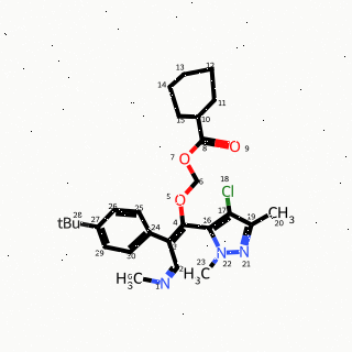 C/N=C\C(=C(\OCOC(=O)C1CCCCC1)c1c(Cl)c(C)nn1C)c1ccc(C(C)(C)C)cc1